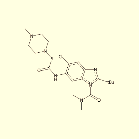 CN1CCN(SC(=O)Nc2cc3c(cc2Cl)nc(C(C)(C)C)n3C(=O)N(C)C)CC1